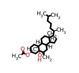 C=C1C[C@H]2[C@@H]3CC[C@H]([C@H](C)CCCC(C)C)[C@@]3(C)CC[C@@H]2[C@@]2(C)CC[C@@H](OC(C)=O)C[C@]12O